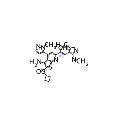 C=Nc1ncn(C)c1/C=C(\C)c1cc(-c2ccnn2C)c2c(N)c([S@@+]([O-])C3CCC3)sc2n1